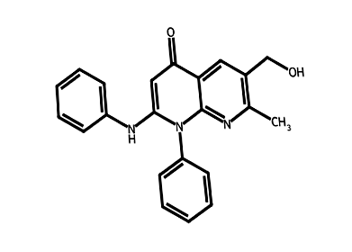 Cc1nc2c(cc1CO)c(=O)cc(Nc1ccccc1)n2-c1ccccc1